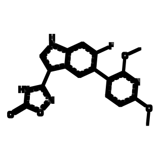 COc1ccc(-c2cc3c(-c4noc(=O)[nH]4)c[nH]c3cc2F)c(OC)n1